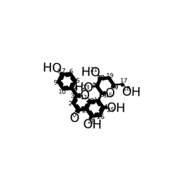 O=c1cc(-c2ccc(O)cc2)oc2c([C@@H]3O[C@H](CO)C[C@H](O)[C@H]3O)c(O)cc(O)c12